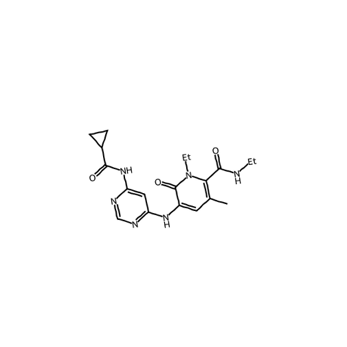 CCNC(=O)c1c(C)cc(Nc2cc(NC(=O)C3CC3)ncn2)c(=O)n1CC